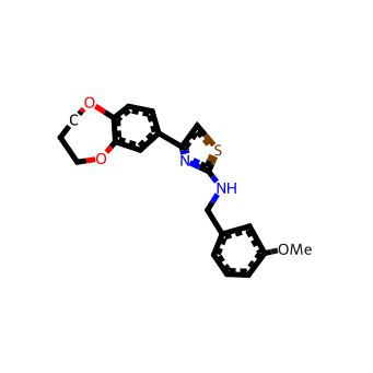 COc1cccc(CNc2nc(-c3ccc4c(c3)OCCCO4)cs2)c1